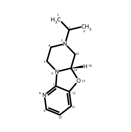 CC(C)N1CCN2c3ncccc3O[C@H]2C1